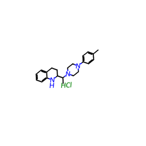 Cc1ccc(N2CCN(C(C)C3CCc4ccccc4N3)CC2)cc1.Cl